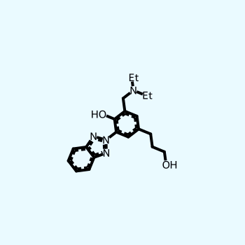 CCN(CC)Cc1cc(CCCO)cc(-n2nc3ccccc3n2)c1O